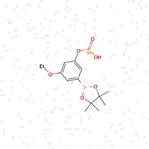 CCOc1cc(O[PH](=O)O)cc(B2OC(C)(C)C(C)(C)O2)c1